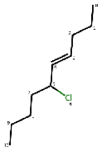 CCCC=CC(Cl)CCCC